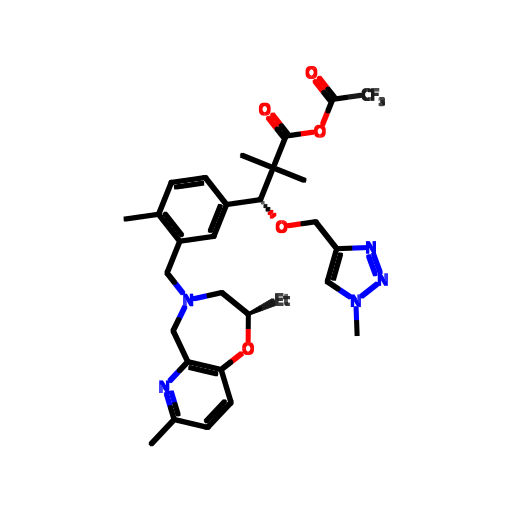 CC[C@@H]1CN(Cc2cc([C@@H](OCc3cn(C)nn3)C(C)(C)C(=O)OC(=O)C(F)(F)F)ccc2C)Cc2nc(C)ccc2O1